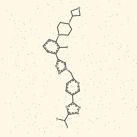 Fc1c(-c2cn(Cc3ccc(-c4nnc(C(F)F)o4)cn3)nn2)cccc1N1CCN(C2COC2)CC1